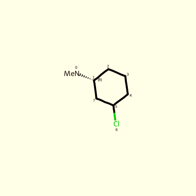 CN[C@@H]1CCCC(Cl)C1